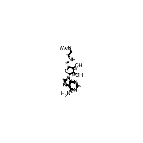 CNCCNC[C@H]1O[C@@H](n2cnc3c(N)ncnc32)C(O)C1O